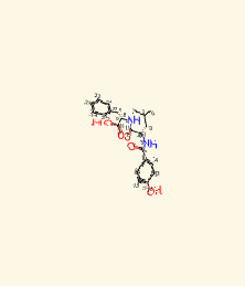 CC(C)C[C@H](NC(=O)c1ccc(O)cc1)C(=O)N[C@@H](Cc1ccccc1)C(=O)O